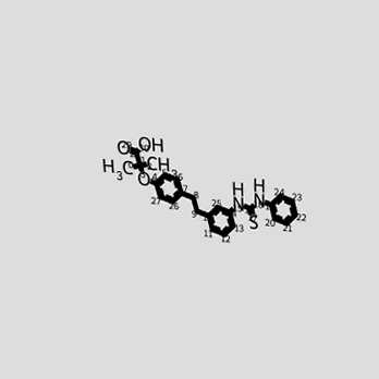 CC(C)(Oc1ccc(CCc2cccc(NC(=S)Nc3ccccc3)c2)cc1)C(=O)O